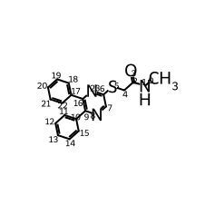 CNC(=O)CSc1cnc(-c2ccccc2)c(-c2ccccc2)n1